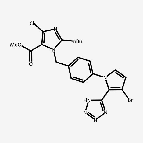 CCCCc1nc(Cl)c(C(=O)OC)n1Cc1ccc(-n2ccc(Br)c2-c2nnn[nH]2)cc1